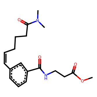 COC(=O)CCNC(=O)c1cccc(/C=C\CCCC(=O)N(C)C)c1